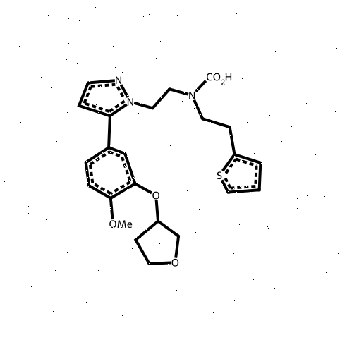 COc1ccc(-c2ccnn2CCN(CCc2cccs2)C(=O)O)cc1OC1CCOC1